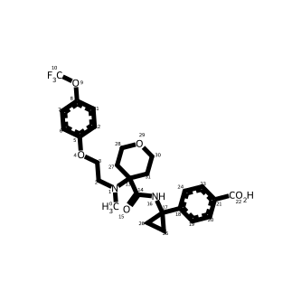 CN(CCOc1ccc(OC(F)(F)F)cc1)C1(C(=O)NC2(c3ccc(C(=O)O)cc3)CC2)CCOCC1